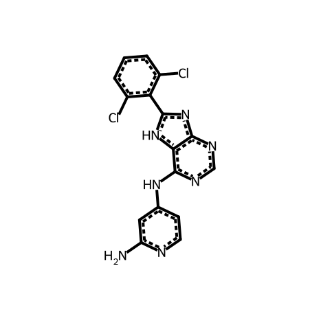 Nc1cc(Nc2ncnc3nc(-c4c(Cl)cccc4Cl)[nH]c23)ccn1